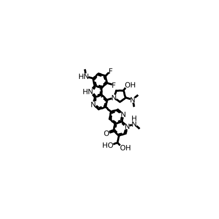 CNc1cc(F)c(F)c2c1[nH]c1ncc(-c3cnc4c(c3)c(=O)c(C(O)O)cn4NC)c(N3CC(O)C(N(C)C)C3)c12